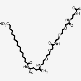 C=C(CC[C@H](NC(=O)CCCCCCCCCCCCCCC(=O)O)C(C)=O)NCCOCCOCC(=O)NCCOCCOCC(=O)NCCNC(=O)CC